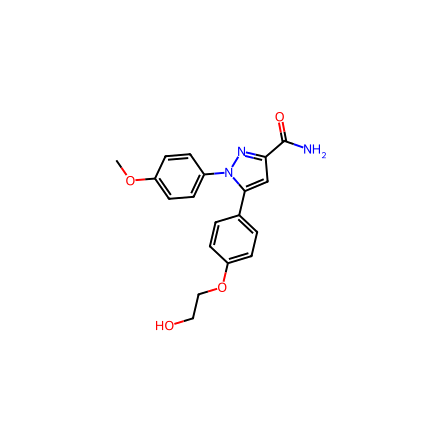 COc1ccc(-n2nc(C(N)=O)cc2-c2ccc(OCCO)cc2)cc1